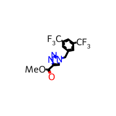 COC(=O)c1cn(Cc2cc(C(F)(F)F)cc(C(F)(F)F)c2)nn1